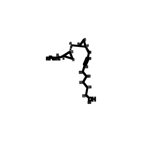 CCCCCC1C[C@H]1CC1C[C@H]1CC#CCCCCCO